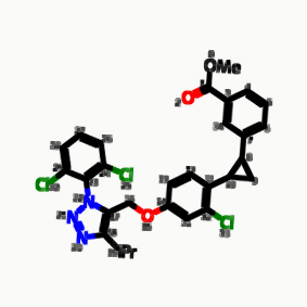 COC(=O)c1cccc(C2CC2c2ccc(OCc3c(C(C)C)nnn3-c3c(Cl)cccc3Cl)cc2Cl)c1